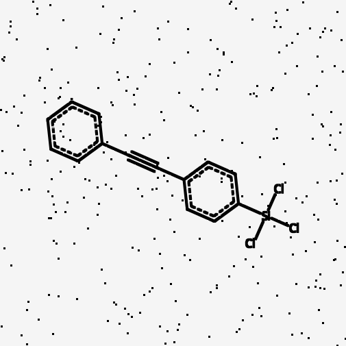 Cl[Si](Cl)(Cl)c1ccc(C#Cc2c[c]ccc2)cc1